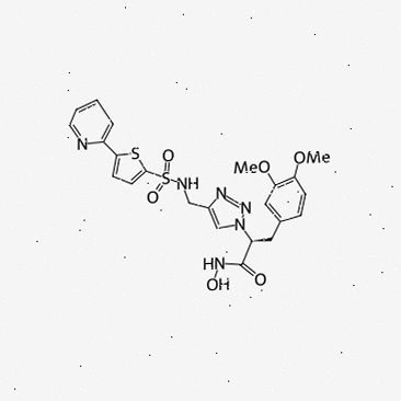 COc1ccc(C[C@@H](C(=O)NO)n2cc(CNS(=O)(=O)c3ccc(-c4ccccn4)s3)nn2)cc1OC